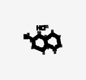 Brc1ccc2ncccc2c1.Cl